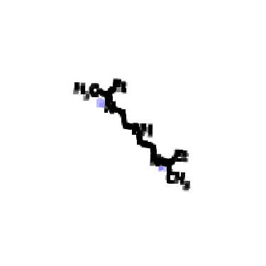 CC/C(C)=N\CCNCC/N=C(/C)CC